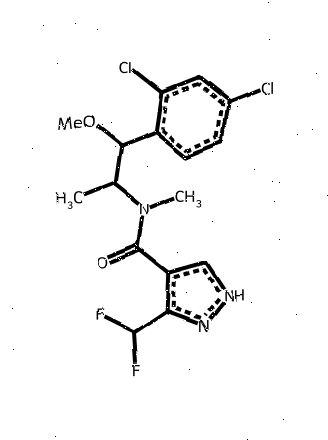 COC(c1ccc(Cl)cc1Cl)C(C)N(C)C(=O)c1c[nH]nc1C(F)F